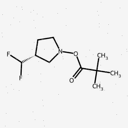 CC(C)(C)C(=O)ON1CC[C@@H](C(F)F)C1